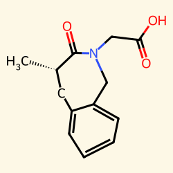 C[C@H]1Cc2ccccc2CN(CC(=O)O)C1=O